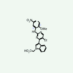 C=C(/C=C(Nc1ncc(CC)c(-c2cn(CC(=O)O)c3ccccc23)n1)\C(=C/C)OC)[N+](=O)[O-]